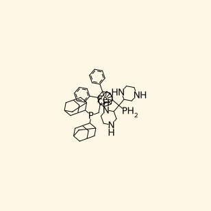 PC(C1CNCCN1)(C1CNCCN1)[C]12[CH]3[C]4(c5ccccc5)[C]5(c6ccccc6)[C]1(CP(C1C6CC7CC(C6)CC1C7)C1C6CC7CC(C6)CC1C7)[Fe]34521678[CH]2[CH]1[CH]6[CH]7[CH]28